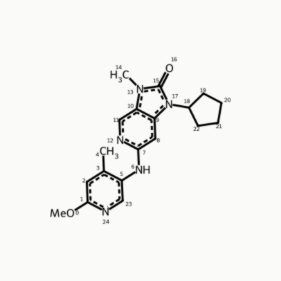 COc1cc(C)c(Nc2cc3c(cn2)n(C)c(=O)n3C2CCCC2)cn1